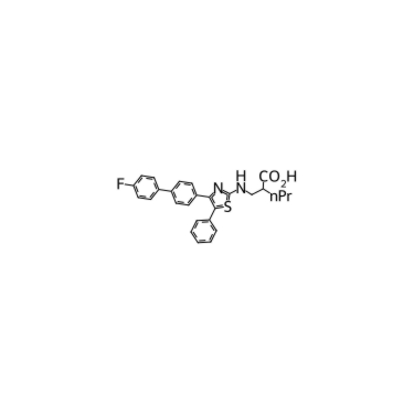 CCCC(CNc1nc(-c2ccc(-c3ccc(F)cc3)cc2)c(-c2ccccc2)s1)C(=O)O